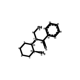 N[C@H]1CCCC[C@H]1N(CO)C(=O)c1ccccc1